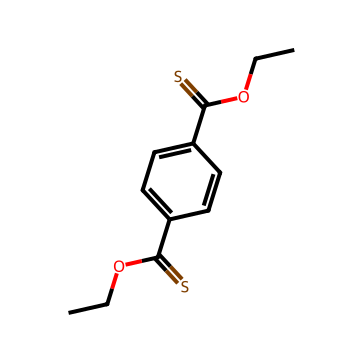 CCOC(=S)c1ccc(C(=S)OCC)cc1